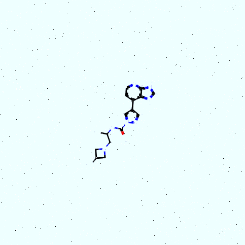 CC(CN1CC(C#N)C1)NC(=O)n1cc(-c2ccnc3[nH]cnc23)cn1